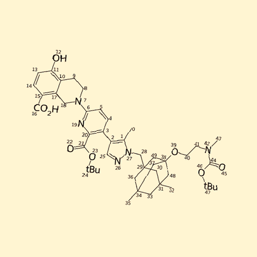 Cc1c(-c2ccc(N3CCc4c(O)ccc(C(=O)O)c4C3)nc2C(=O)OC(C)(C)C)cnn1CC12CC3(C)CC(C)(C1)CC(OCCN(C)C(=O)OC(C)(C)C)(C3)C2